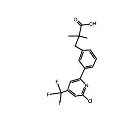 CC(C)(Cc1cccc(-c2cc(C(F)(F)F)cc(Cl)n2)c1)C(=O)O